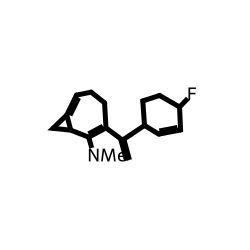 C=C(C1=C(NC)C2CC2=CCC1)C1C=CC(F)CC1